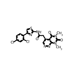 Cn1c(=O)c2c(CC(=O)Nc3nc(-c4ccc(Cl)cc4Cl)cs3)cnnc2n(C)c1=O